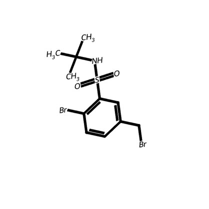 CC(C)(C)NS(=O)(=O)c1cc(CBr)ccc1Br